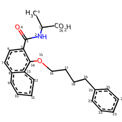 CC(NC(=O)c1ccc2ccccc2c1OCCCCc1ccccc1)C(=O)O